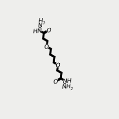 NNC(=O)CCOCCCCOCCC(=O)NN